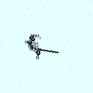 CCCCCCCCCCCCCCOC[C@H](COP(=O)(O)OC[C@@](C#N)(OC)[C@@H](O)[C@@H](O)c1ccc2c(N)ncnn12)Oc1cc(C#N)ccn1